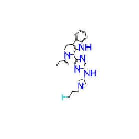 C=C(CC)N1CCc2c([nH]c3ccccc23)[C@H]1c1cnc(NC2CN(CCCF)C2)cn1